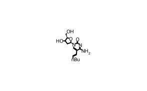 CCCCC=Cc1cn([C@H]2CC(O)[C@@H](CO)O2)c(=O)nc1N